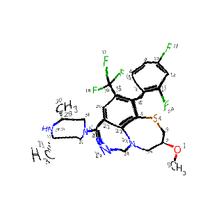 CO[C@@H]1CSc2c(-c3ccc(F)cc3F)c(C(F)(F)F)cc3c2N(CN=C3N2C[C@@H](C)N[C@@H](C)C2)C1